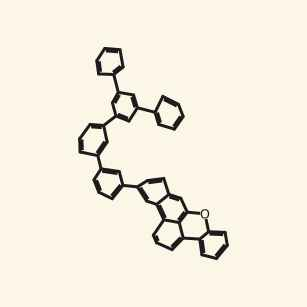 c1ccc(-c2cc(-c3ccccc3)cc(-c3cccc(-c4cccc(-c5ccc6cc7c8c(cccc8c6c5)-c5ccccc5O7)c4)c3)c2)cc1